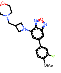 COc1ccc(-c2cc(N3CC(CN4CCOCC4)C3)c3nonc3c2)cc1F